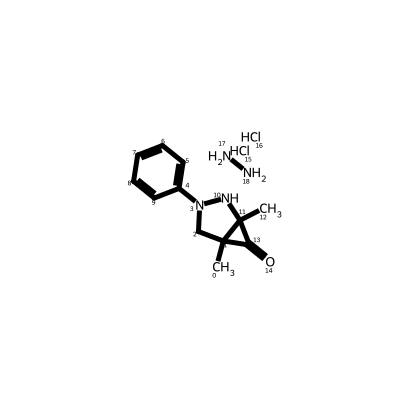 CC12CN(c3ccccc3)NC1(C)C2=O.Cl.Cl.NN